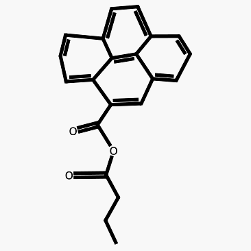 CCCC(=O)OC(=O)c1cc2cccc3ccc4cccc1c4c32